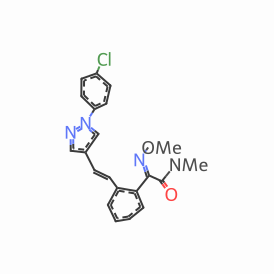 CNC(=O)C(=NOC)c1ccccc1C=Cc1cnn(-c2ccc(Cl)cc2)c1